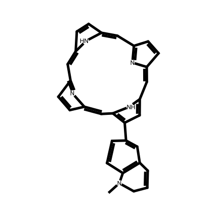 CN1CC=Cc2cc(-c3cc4cc5nc(cc6ccc(cc7nc(cc3[nH]4)C=C7)[nH]6)C=C5)ccc21